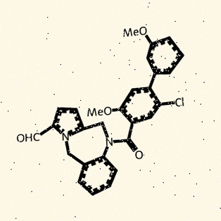 COc1cccc(-c2cc(OC)c(C(=O)N3Cc4ccc(C=O)n4Cc4ccccc43)cc2Cl)c1